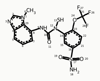 Cn1cnc2cccc(NC(=O)N(S)c3cc(S(N)(=O)=O)ccc3OC(F)(F)F)c21